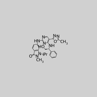 Cc1nnc(-c2cnc(Nc3ccc4c(=O)n(C)n(C(C)C)c4c3)nc2N[C@H](CO)c2ccccc2)o1